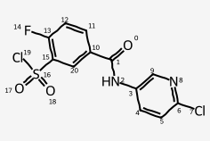 O=C(Nc1ccc(Cl)nc1)c1ccc(F)c(S(=O)(=O)Cl)c1